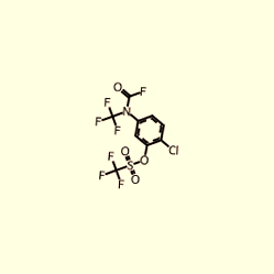 O=C(F)N(c1ccc(Cl)c(OS(=O)(=O)C(F)(F)F)c1)C(F)(F)F